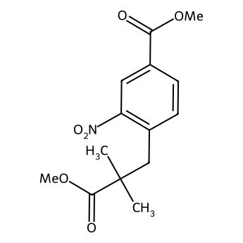 COC(=O)c1ccc(CC(C)(C)C(=O)OC)c([N+](=O)[O-])c1